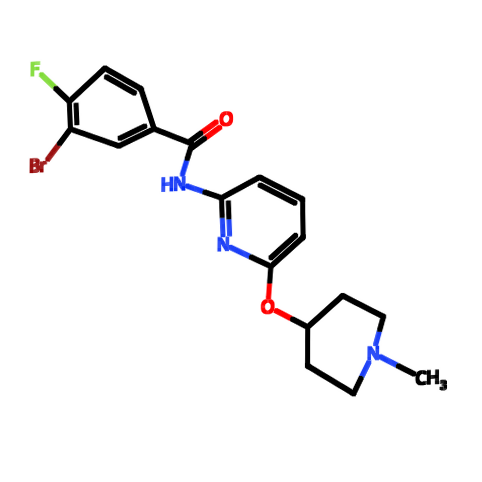 CN1CCC(Oc2cccc(NC(=O)c3ccc(F)c(Br)c3)n2)CC1